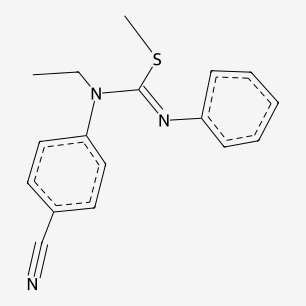 CCN(C(=Nc1ccccc1)SC)c1ccc(C#N)cc1